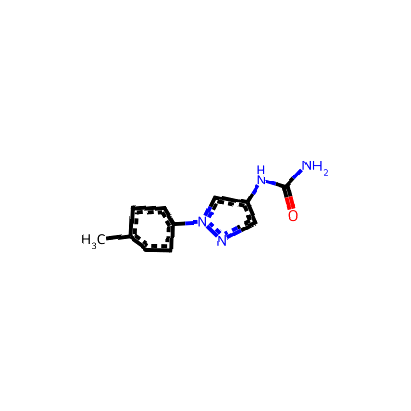 Cc1ccc(-n2cc(NC(N)=O)cn2)cc1